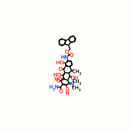 C[C@H]1c2ccc(NC(=O)OCC3c4ccccc4-c4ccccc43)c(O)c2C(=O)C2=C(O)[C@]3(O)C(=O)C(C(N)=O)=C(O)[C@@H](N(C)C)C3[C@@H](O)C21